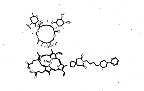 C=CC1=C(C)/C2=C/c3c(C=C)c(C)c4[n]3[Fe]([Cl])[n]3/c(c(C)c(CCC(=O)O)/c3=C/C3=NC(=C\4)/C(C)=C3CCC(=O)O)=C\C1=N2.CC[C@H]1OC(=O)[C@H](C)[C@@H](O[C@H]2C[C@@](C)(OC)[C@@H](O)[C@H](C)O2)[C@H](C)[C@@H](O[C@@H]2O[C@H](C)C[C@H](N(C)C)[C@H]2O)[C@](C)(O)C[C@@H](C)CN(C)[C@H](C)[C@@H](O)[C@]1(C)O.O=C1CC2(CCCC2)CC(=O)N1CCCCN1CCN(c2ncccn2)CC1